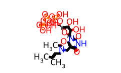 CC(=O)N(CC=C(C)C)Cc1cn([C@@H]2O[C@H](COP(=O)(O)OP(=O)(O)OP(=O)(O)O)[C@H](O)C2O)c(=O)[nH]c1=O